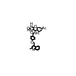 CC(=O)N1CCC(C(NC(=O)c2ccc(OCc3cc(C)nc4ccccc34)cc2)C2NC(=O)NC2=O)CC1